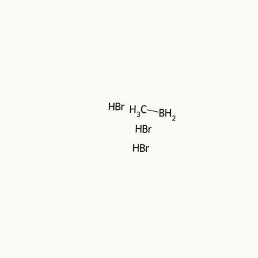 BC.Br.Br.Br